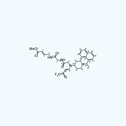 COC(=O)/C=C/CNC(=O)CNC(=O)CN(/C=C/C(=O)C(F)(F)F)C1CCN(C(C)c2cccc3ccccc23)CC1